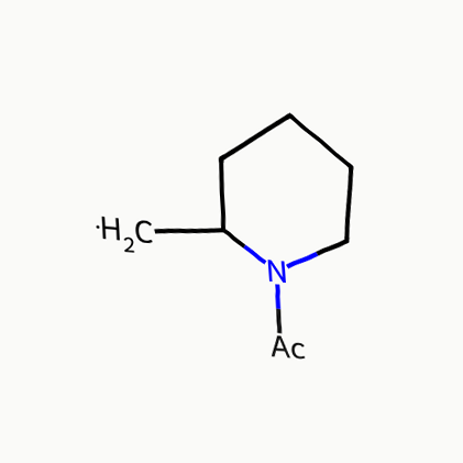 [CH2]C1CCCCN1C(C)=O